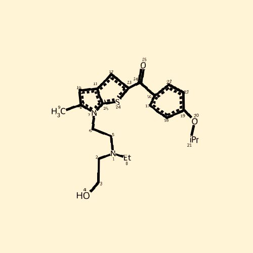 CCN(CCO)CCn1c(C)cc2cc(C(=O)c3ccc(OC(C)C)cc3)sc21